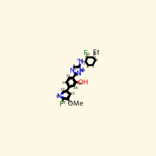 CC[C@@H]1CCC[C@H](N(C)c2cnc(-c3ccc(-c4cnc(F)c(OC)c4)cc3O)nn2)[C@@H]1F